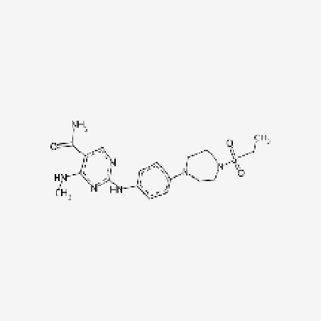 CCS(=O)(=O)N1CCN(c2ccc(Nc3ncc(C(N)=O)c(NC)n3)cc2)CC1